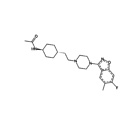 CC(=O)N[C@H]1CC[C@H](CCN2CCN(c3noc4cc(F)c(C)cc34)CC2)CC1